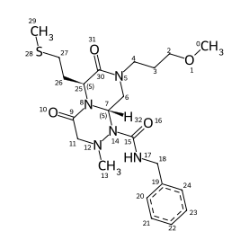 COCCCN1C[C@H]2N(C(=O)CN(C)N2C(=O)NCc2ccccc2)[C@@H](CCSC)C1=O